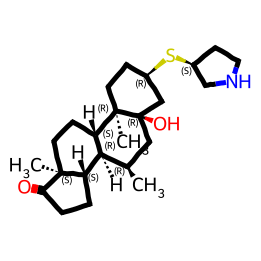 C[C@@H]1C[C@@]2(O)C[C@H](S[C@H]3CCNC3)CC[C@]2(C)[C@H]2CC[C@]3(C)C(=O)CC[C@H]3[C@H]12